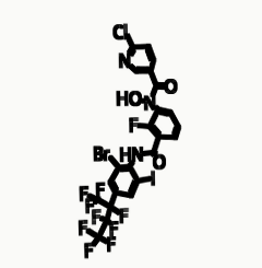 O=C(Nc1c(Br)cc(C(F)(C(F)(F)F)C(F)(F)C(F)(F)F)cc1I)c1cccc(N(O)C(=O)c2ccc(Cl)nc2)c1F